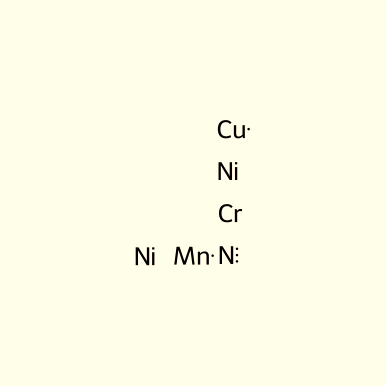 [Cr].[Cu].[Mn].[N].[Ni].[Ni]